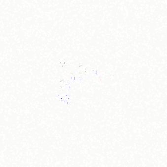 COc1cc2c(cc1C(=O)Nc1cccc(-c3nnc4n3CCCC4)n1)CN(C(=O)OC(C)C)CC2